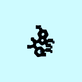 CCC(C(=O)N1CC(C)(C)c2ccc(C#N)cc21)N1CCN[C@H](C)C1